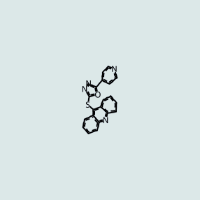 c1ccc2c(Sc3nnc(-c4ccncc4)o3)c3ccccc3nc2c1